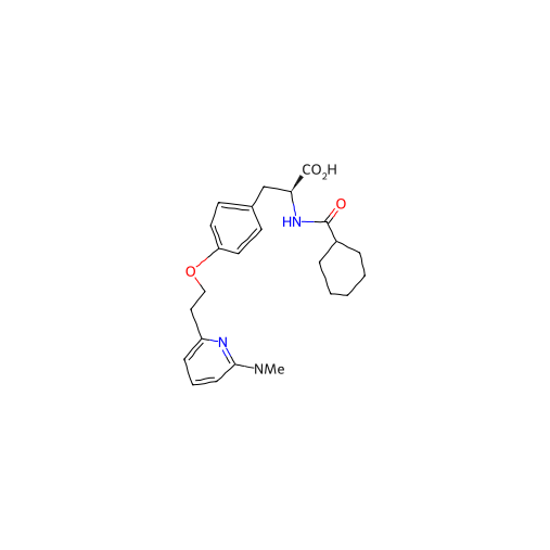 CNc1cccc(CCOc2ccc(C[C@H](NC(=O)C3CCCCC3)C(=O)O)cc2)n1